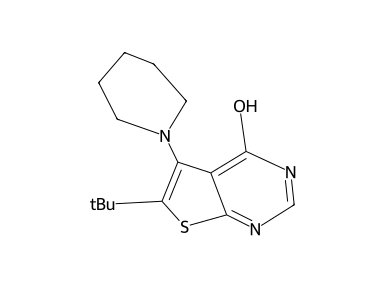 CC(C)(C)c1sc2ncnc(O)c2c1N1CCCCC1